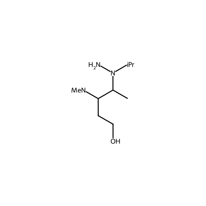 CNC(CCO)C(C)N(N)C(C)C